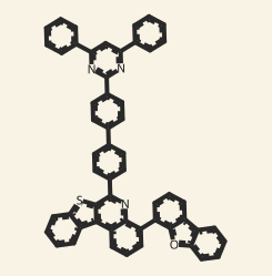 c1ccc(-c2cc(-c3ccccc3)nc(-c3ccc(-c4ccc(-c5nc6c(-c7cccc8c7oc7ccccc78)cccc6c6c5sc5ccccc56)cc4)cc3)n2)cc1